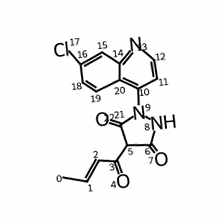 C/C=C/C(=O)C1C(=O)NN(c2ccnc3cc(Cl)ccc23)C1=O